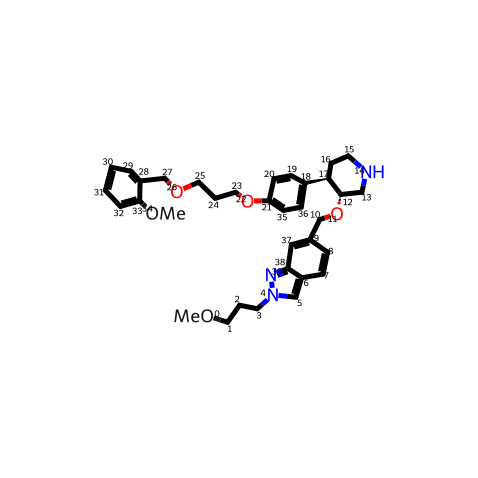 COCCCn1cc2ccc(CO[C@H]3CNCC[C@@H]3c3ccc(OCCCOCc4ccccc4OC)cc3)cc2n1